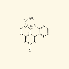 COc1ccccc1-c1cc(Cl)cc2c1O[C@@H](CN)CC2